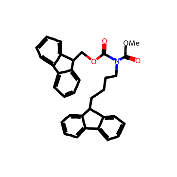 COC(=O)N(CCC[CH]C1c2ccccc2-c2ccccc21)C(=O)OCC1c2ccccc2-c2ccccc21